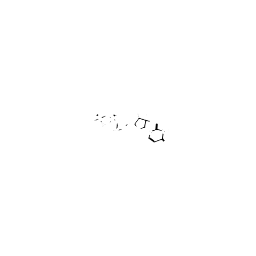 C[C@@]1(F)[C@H](O)[C@@H](CO[P@@](O)(=S)OP(=O)(O)OP(=O)(O)O)O[C@H]1n1ccc(=O)[nH]c1=O